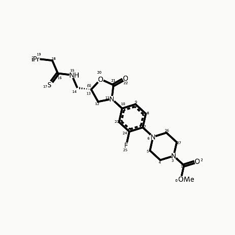 COC(=O)N1CCN(c2ccc(N3C[C@H](CNC(=S)CC(C)C)OC3=O)cc2F)CC1